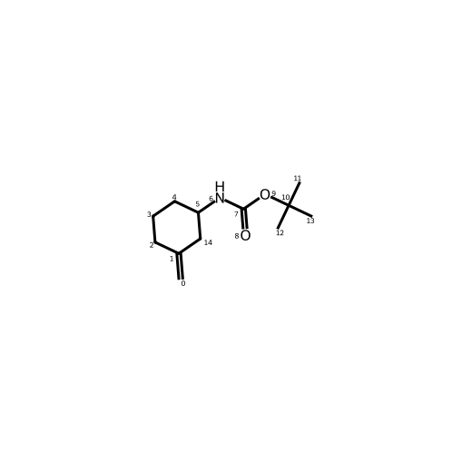 C=C1CCCC(NC(=O)OC(C)(C)C)C1